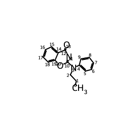 CCCN(c1ccccc1)c1nc(=O)c2ccccc2o1